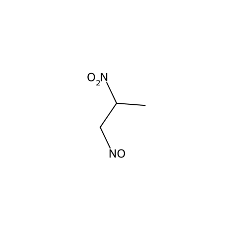 CC(CN=O)[N+](=O)[O-]